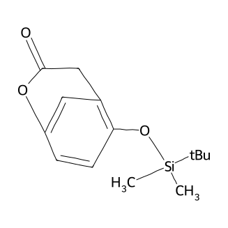 CC(C)(C)[Si](C)(C)Oc1ccc2cc1CC(=O)O2